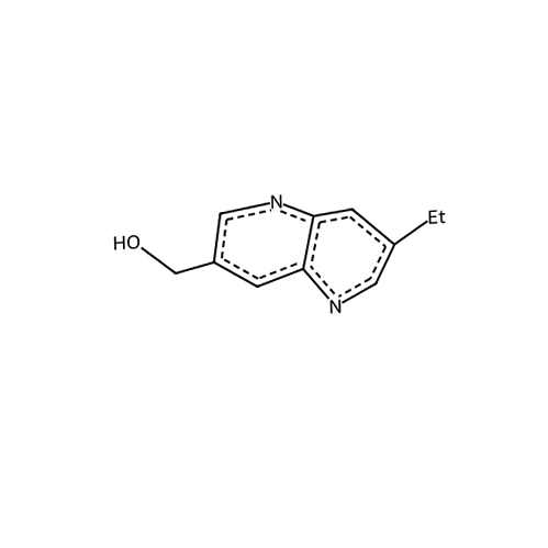 CCc1cnc2cc(CO)cnc2c1